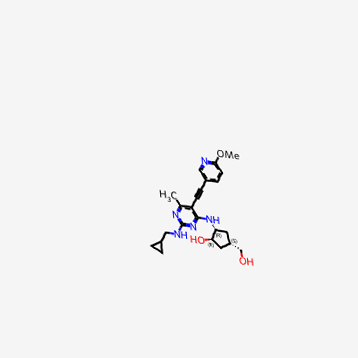 COc1ccc(C#Cc2c(C)nc(NCC3CC3)nc2N[C@@H]2C[C@H](CO)C[C@H]2O)cn1